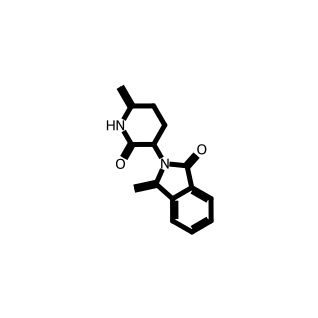 C=C1CCC(N2C(=C)c3ccccc3C2=O)C(=O)N1